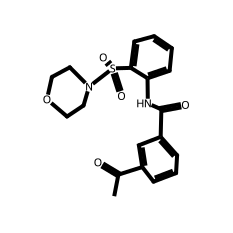 CC(=O)c1cccc(C(=O)Nc2ccccc2S(=O)(=O)N2CCOCC2)c1